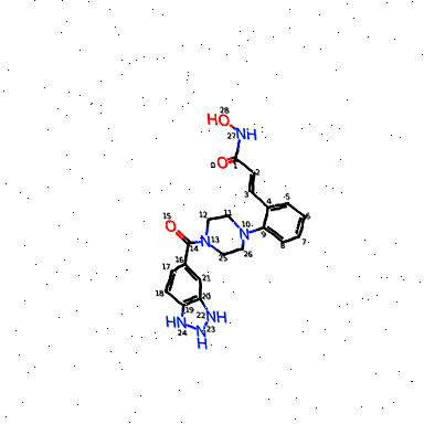 O=C(/C=C/c1ccccc1N1CCN(C(=O)c2ccc3c(c2)NNN3)CC1)NO